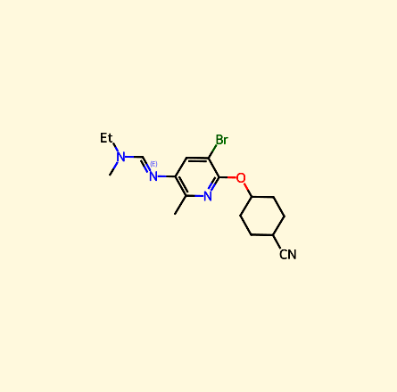 CCN(C)/C=N/c1cc(Br)c(OC2CCC(C#N)CC2)nc1C